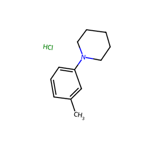 Cc1cccc(N2CCCCC2)c1.Cl